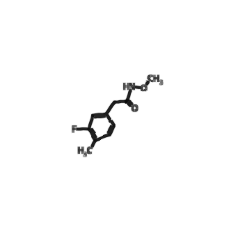 CONC(=O)Cc1ccc(C)c(F)c1